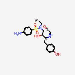 CC(C)CN(CC(O)[C@H](Cc1ccc(O)cc1)/N=C\B=O)S(=O)(=O)c1ccc(N)cc1